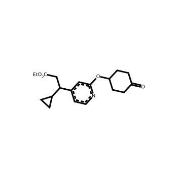 CCOC(=O)CC(c1ccnc(OC2CCC(=O)CC2)c1)C1CC1